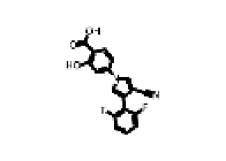 N#Cc1cn(-c2ccc(C(=O)O)c(O)c2)cc1-c1c(F)cccc1F